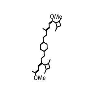 CO/C(C)=C/C=C(/CCC1CCC(CC/C(C)=C/C=C(/OC)C2C(C)CC2C)CC1)C1C(C)CC1C